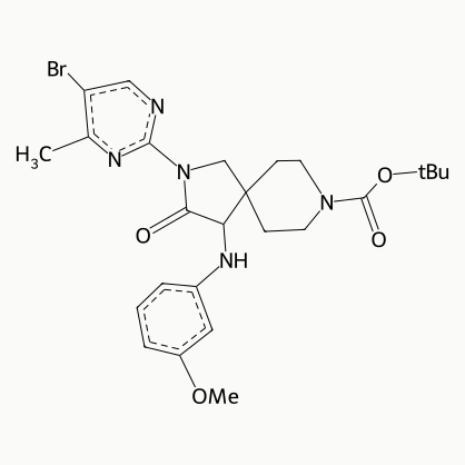 COc1cccc(NC2C(=O)N(c3ncc(Br)c(C)n3)CC23CCN(C(=O)OC(C)(C)C)CC3)c1